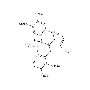 COc1cc2c(cc1OC)[C@H]1[C@@H](C)c3ccc(OC)c(OC)c3CN1CC2.O=C(O)C=CC(=O)O